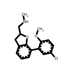 CNCC1Cc2cccc(-c3cc(Cl)ccc3OC)c2O1